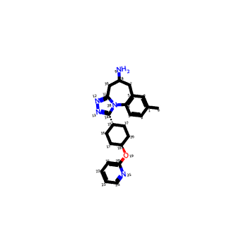 Cc1ccc2c(c1)CC(N)Cc1nnc([C@H]3CC[C@H](Oc4ccccn4)CC3)n1-2